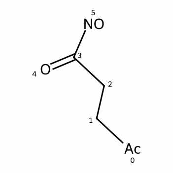 CC(=O)CCC(=O)N=O